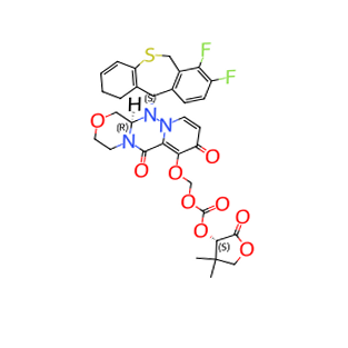 CC1(C)COC(=O)[C@H]1OC(=O)OCOc1c2n(ccc1=O)N([C@@H]1C3=C(C=CCC3)SCc3c1ccc(F)c3F)[C@@H]1COCCN1C2=O